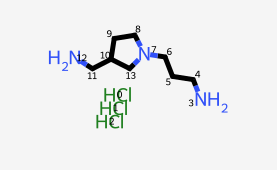 Cl.Cl.Cl.NCCCN1CCC(CN)C1